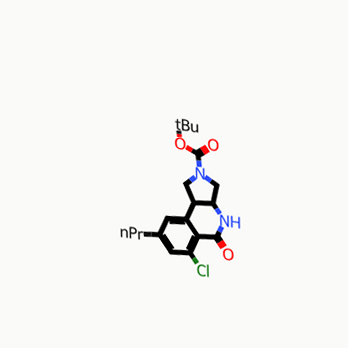 CCCc1cc(Cl)c2c(c1)C1CN(C(=O)OC(C)(C)C)CC1NC2=O